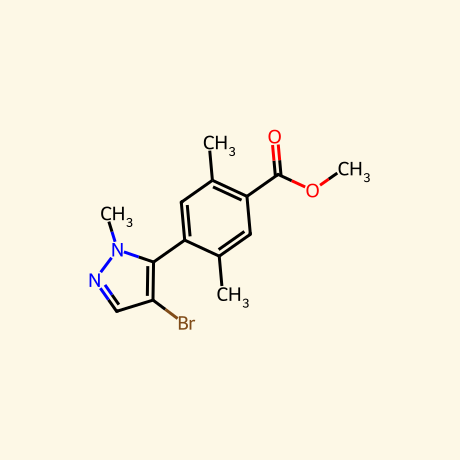 COC(=O)c1cc(C)c(-c2c(Br)cnn2C)cc1C